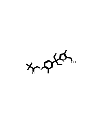 CCC(CC)(c1ccc(OCC(=O)C(C)(C)C)c(C)c1)c1cc(C)c(CO)s1